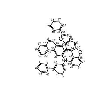 c1ccc(-c2cccc(N(c3ccc4ccc5ccccc5c4c3)c3cccc4oc5cc6nc(-c7ccccc7)oc6cc5c34)c2)cc1